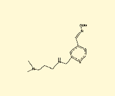 CON=Cc1ccnc(CNCCCN(C)C)c1